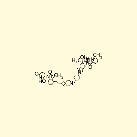 Cc1cccc(C(=O)Nc2cc3cn([C@H]4CC[C@H](CN5CCC6(CC5)CC(CCc5cccc7c5n(C)c(=O)n7C5CCC(=O)NC5=O)C6)CC4)nc3cc2C(C)(C)O)n1